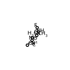 [C-]#[N+]c1cc2c(Oc3ccc(N(C)C(=O)Nc4ccc(F)cc4)c(C)c3)ccnc2cc1OCc1ccccc1